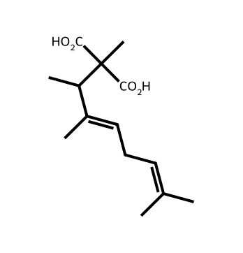 CC(C)=CCC=C(C)C(C)C(C)(C(=O)O)C(=O)O